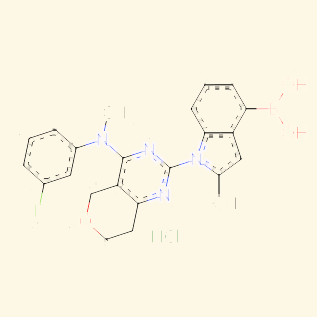 Cc1cc2c(B(O)O)cccc2n1-c1nc2c(c(N(C)c3cccc(F)c3)n1)COCC2.Cl